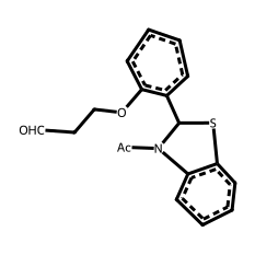 CC(=O)N1c2ccccc2SC1c1ccccc1OCCC=O